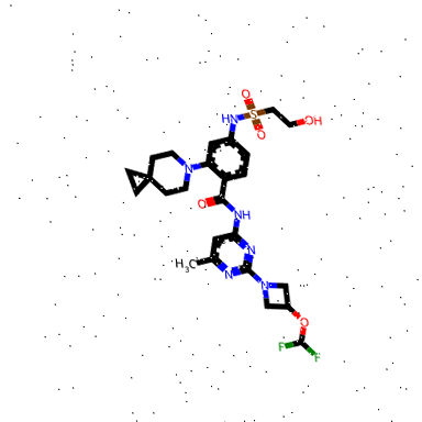 Cc1cc(NC(=O)c2ccc(NS(=O)(=O)CCO)cc2N2CCC3(CC2)CC3)nc(N2CC(OC(F)F)C2)n1